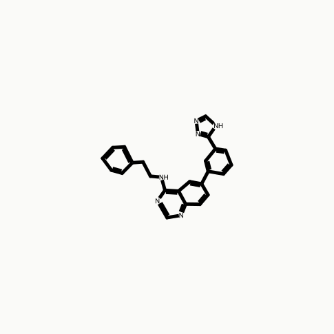 c1ccc(CCNc2ncnc3ccc(-c4cccc(-c5nnc[nH]5)c4)cc23)cc1